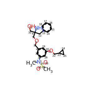 CN(c1cc(COCC(N)(CO)Cc2ccccc2)cc(OCC2CC2)c1)S(C)(=O)=O